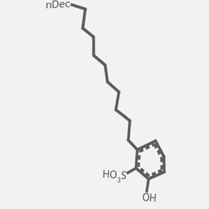 CCCCCCCCCCCCCCCCCCCCc1cccc(O)c1S(=O)(=O)O